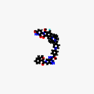 [2H]C1([2H])N(CC2CCN(c3ccc(C(=O)Nc4n[nH]c5c4CN(C(=O)[C@H](OC)c4ccccc4)C5)cc3)CC2)C([2H])([2H])C([2H])([2H])N(c2cc(F)c3c(c2)C(=O)N(C2CCC(=O)NC2=O)C3=O)C1([2H])[2H]